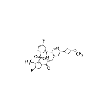 CC1C(F)CC(C(=O)NCc2cc(C3CC(OC(F)(F)F)C3)ncc2F)N1S(=O)(=O)c1ccc(F)cc1